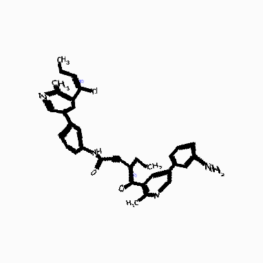 CC/C=C(/Cl)c1cc(-c2cccc(NC(=O)C#C/C(CC)=C(\Cl)c3cc(-c4cccc(N)c4)cnc3C)c2)cnc1C